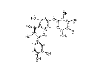 CC1O[C@@H](Oc2cc(O)c3c(=O)c(O)c(-c4ccc(O)c(O)c4)oc3c2)C(O)[C@@H](O)[C@H]1O